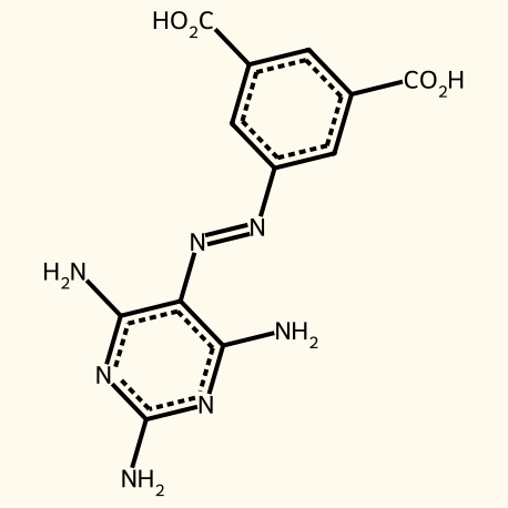 Nc1nc(N)c(N=Nc2cc(C(=O)O)cc(C(=O)O)c2)c(N)n1